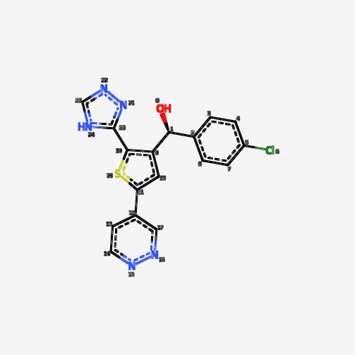 O[C@@H](c1ccc(Cl)cc1)c1cc(-c2ccnnc2)sc1-c1nnc[nH]1